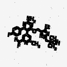 CCc1nn(CC(C)(C)O)nc1COc1nc(N)nc(-c2ccc(F)cc2)c1-c1cc(C)nc(C(F)F)c1